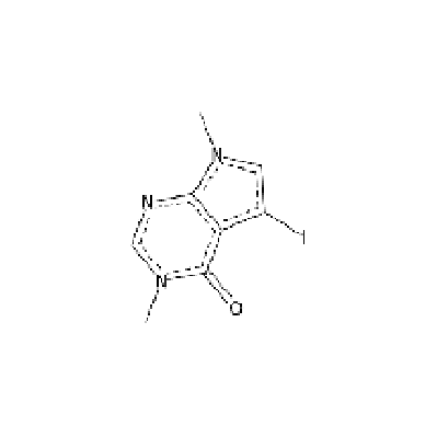 Cn1cnc2c(c(I)cn2C)c1=O